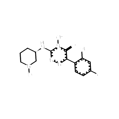 CCN1CCC[C@@H](Nc2nnc(-c3ccc(Cl)cc3O)c(=O)n2C)C1